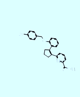 O=C(O)c1cccc(C2=C(c3ccccc3OCc3ccc(Br)cc3)CCC2)n1